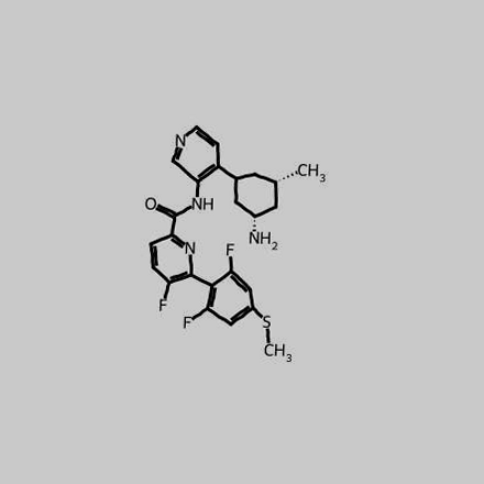 CSc1cc(F)c(-c2nc(C(=O)Nc3cnccc3C3C[C@H](C)C[C@H](N)C3)ccc2F)c(F)c1